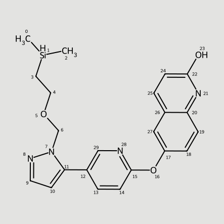 C[SiH](C)CCOCn1nccc1-c1ccc(Oc2ccc3nc(O)ccc3c2)nc1